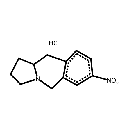 Cl.O=[N+]([O-])c1ccc2c(c1)CN1CCCC1C2